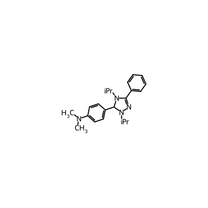 CC(C)N1N=C(c2ccccc2)N(C(C)C)C1c1ccc(N(C)C)cc1